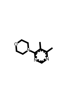 Cc1ncnc(N2CCOCC2)c1C